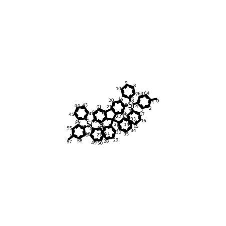 Cc1ccc([Si](c2ccccc2)(c2ccccc2)c2ccc3c(c2)C(c2ccccc2)(c2ccccc2)c2cc([Si](c4ccccc4)(c4ccccc4)c4ccc(C)cc4)ccc2-3)cc1